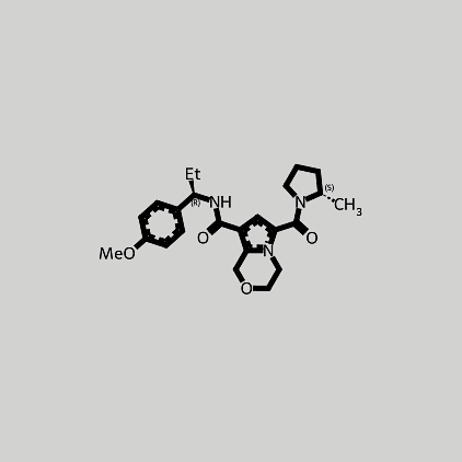 CC[C@@H](NC(=O)c1cc(C(=O)N2CCC[C@@H]2C)n2c1COCC2)c1ccc(OC)cc1